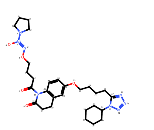 O=C(CCCON=[N+]([O-])N1CCCC1)N1C(=O)CCc2cc(OCCCCc3nnnn3C3CCCCC3)ccc21